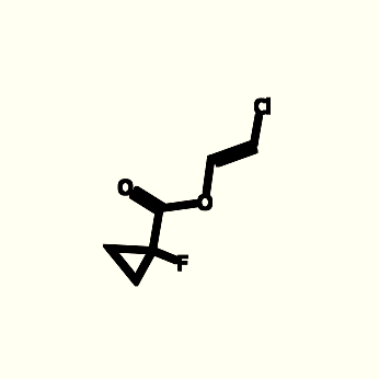 O=C(OC=CCl)C1(F)CC1